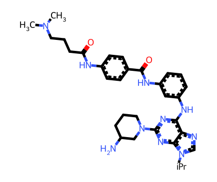 CC(C)n1cnc2c(Nc3cccc(NC(=O)c4ccc(NC(=O)CCCN(C)C)cc4)c3)nc(N3CCCC(N)C3)nc21